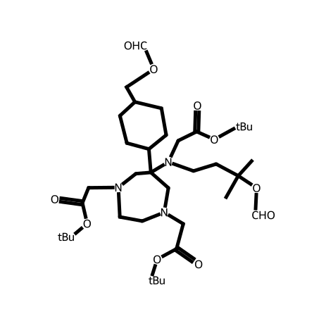 CC(C)(C)OC(=O)CN1CCN(CC(=O)OC(C)(C)C)CC(C2CCC(COC=O)CC2)(N(CCC(C)(C)OC=O)CC(=O)OC(C)(C)C)C1